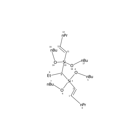 CCCC=C[Si](OCCCC)(OCCCC)C(CC)[Si](C=CCCC)(OCCCC)OCCCC